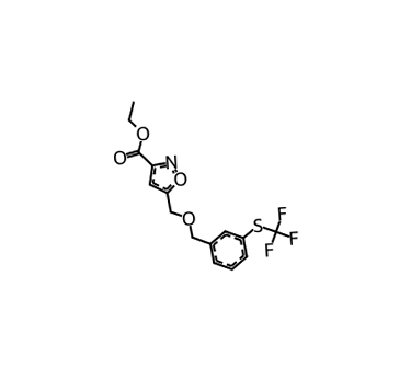 CCOC(=O)c1cc(COCc2cccc(SC(F)(F)F)c2)on1